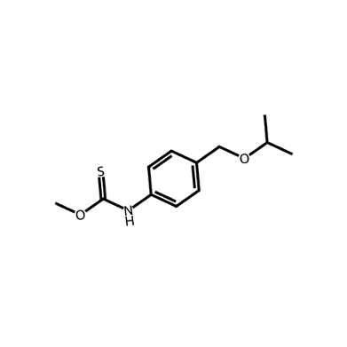 COC(=S)Nc1ccc(COC(C)C)cc1